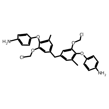 Cc1cc(Cc2cc(C)c(Oc3ccc(N)cc3)c(OCCl)c2)cc(OCCl)c1Oc1ccc(N)cc1